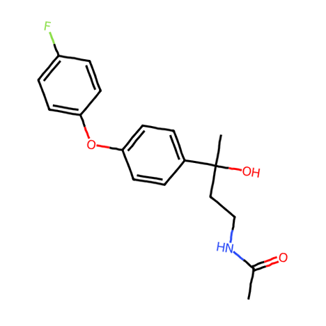 CC(=O)NCCC(C)(O)c1ccc(Oc2ccc(F)cc2)cc1